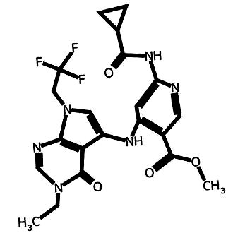 CCn1cnc2c(c(Nc3cc(NC(=O)C4CC4)ncc3C(=O)OC)cn2CC(F)(F)F)c1=O